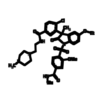 CCOc1ccc2c(c1)C(C)(c1cc(C(=O)NCCN3CCN(C)CC3)ccc1Cl)C(=O)N2S(=O)(=O)c1ccc(C(=O)NC(C)(C)C)cc1OC